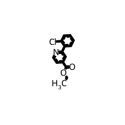 CCOC(=O)c1ccnc(-c2ccccc2Cl)c1